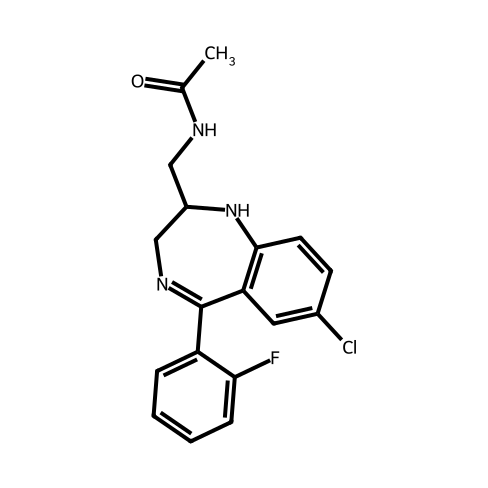 CC(=O)NCC1CN=C(c2ccccc2F)c2cc(Cl)ccc2N1